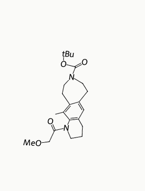 COCC(=O)N1CCCc2cc3c(c(C)c21)CCN(C(=O)OC(C)(C)C)CC3